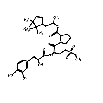 CCS(=O)(=O)CCC(NC(=O)C(O)Cc1ccc(O)c(O)c1)C(=O)N1CCCC1C(=O)OC(C)CC1CCC(C)(C)C1(C)C